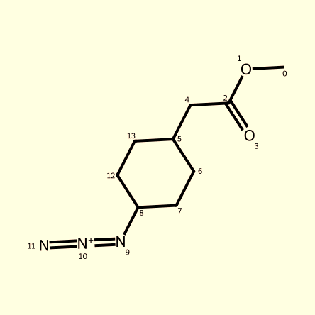 COC(=O)CC1CCC(N=[N+]=[N-])CC1